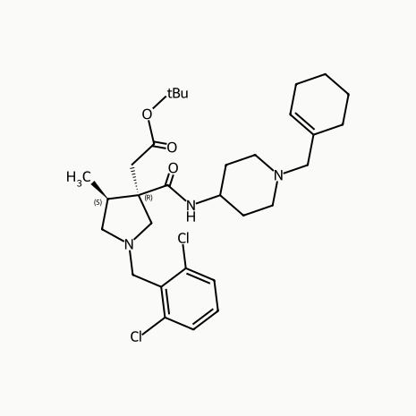 C[C@@H]1CN(Cc2c(Cl)cccc2Cl)C[C@]1(CC(=O)OC(C)(C)C)C(=O)NC1CCN(CC2=CCCCC2)CC1